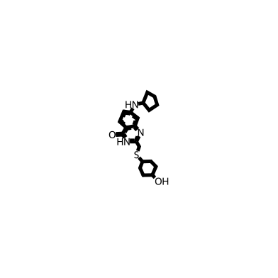 O=c1[nH]c(CSC2CCC(O)CC2)nc2cc(NC3CCCC3)ccc12